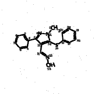 Cn1nc(-c2ccccc2)c(/C=N/O)c1Sc1ccccc1